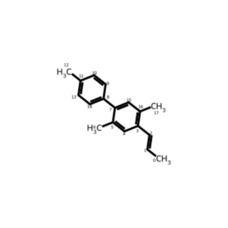 C/C=C/c1cc(C)c(-c2ccc(C)cc2)cc1C